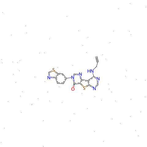 C#CCNc1ncnc2sc3c(=O)n(-c4ccc5ncsc5c4)cnc3c12